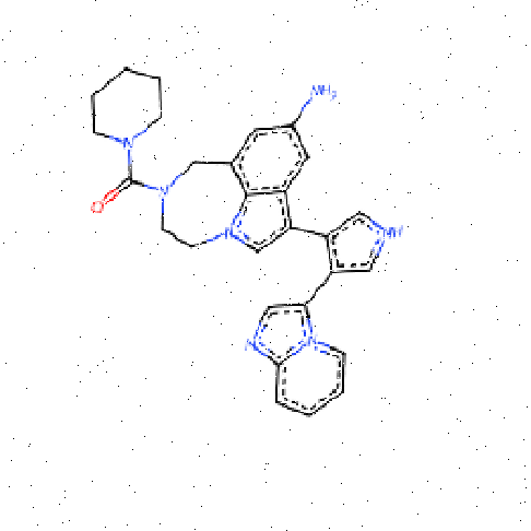 Nc1cc2c3c(c1)c(-c1c[nH]cc1-c1cnc4ccccn14)cn3CCN(C(=O)N1CCCCC1)C2